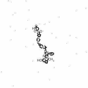 CCc1cccc2c1N(c1ncc3c(N4CC5CCC(C4)N5)nc(OCC4(CN5CCC6(CC5)CC(CN5CCN(c7ccc8c(c7)CN([C@H]7CCC(=O)NC7=O)C8=O)CC5)C6)CC4)nc3c1F)CC(O)C2